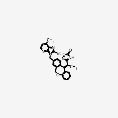 CCc1nc2c(C)ccnc2n1Cc1ccc2c(c1)COc1ccccc1C2=C(C)c1noc(=O)[nH]1